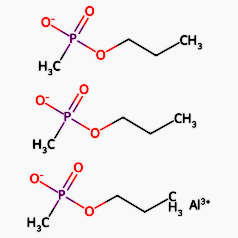 CCCOP(C)(=O)[O-].CCCOP(C)(=O)[O-].CCCOP(C)(=O)[O-].[Al+3]